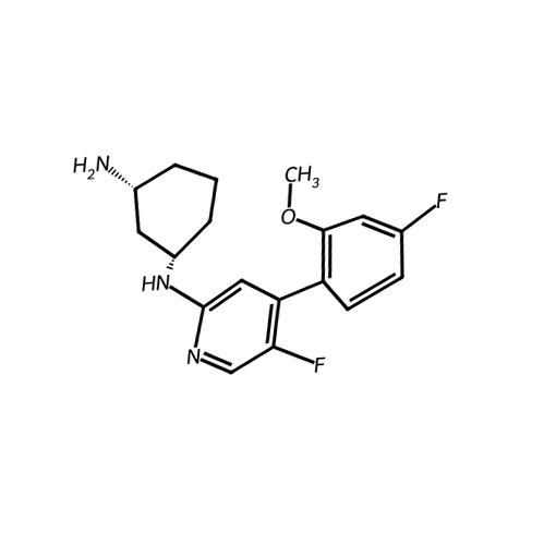 COc1cc(F)ccc1-c1cc(N[C@H]2CCC[C@@H](N)C2)ncc1F